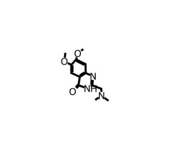 COc1cc2nc(CN(C)C)[nH]c(=O)c2cc1OC